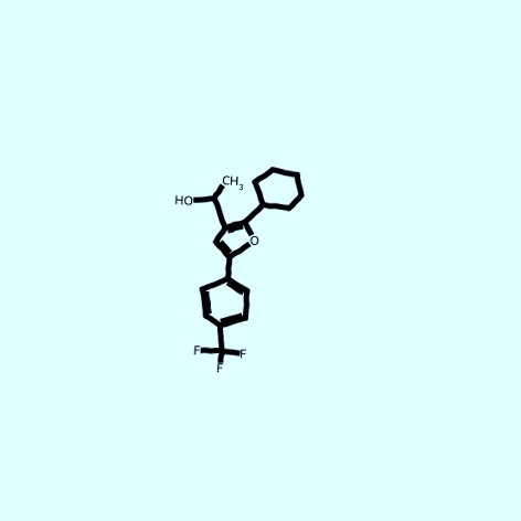 CC(O)c1cc(-c2ccc(C(F)(F)F)cc2)oc1C1CCCCC1